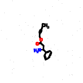 CC#CCOC(=O)CC(N)c1ccccc1